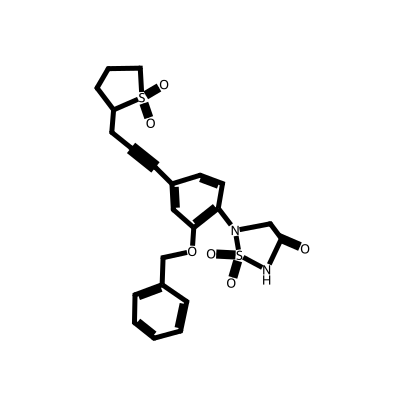 O=C1CN(c2ccc(C#CCC3CCCS3(=O)=O)cc2OCc2ccccc2)S(=O)(=O)N1